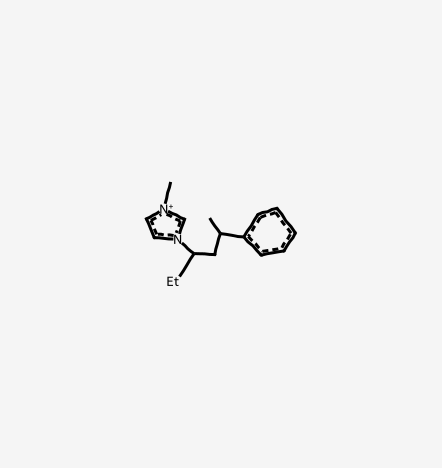 CCC(CC(C)c1ccccc1)n1cc[n+](C)c1